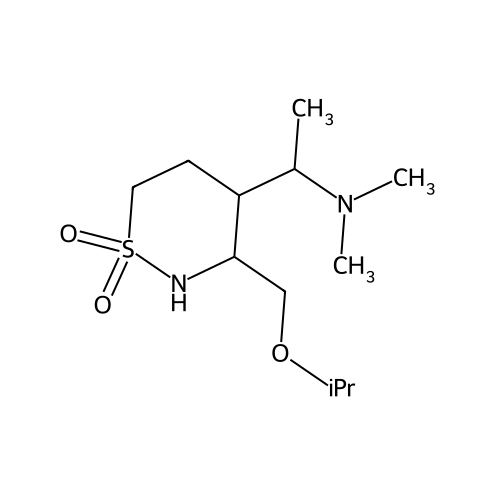 CC(C)OCC1NS(=O)(=O)CCC1C(C)N(C)C